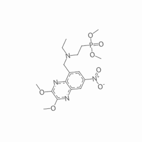 CCN(CCP(=O)(OC)OC)Cc1cc([N+](=O)[O-])cc2nc(OC)c(OC)nc12